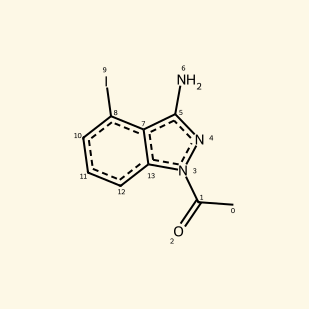 CC(=O)n1nc(N)c2c(I)cccc21